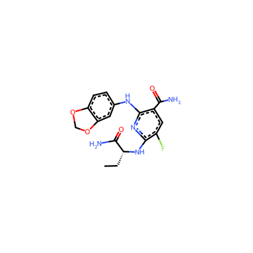 CC[C@@H](Nc1nc(Nc2ccc3c(c2)OCO3)c(C(N)=O)cc1F)C(N)=O